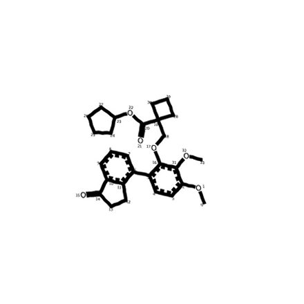 COc1ccc(-c2cccc3c2CCC3=O)c(OCC2(C(=O)OC3CCCC3)CCC2)c1OC